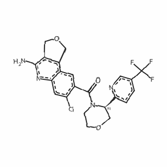 Nc1nc2cc(Cl)c(C(=O)N3CCOC[C@@H]3c3ccc(C(F)(F)F)cn3)cc2c2c1COC2